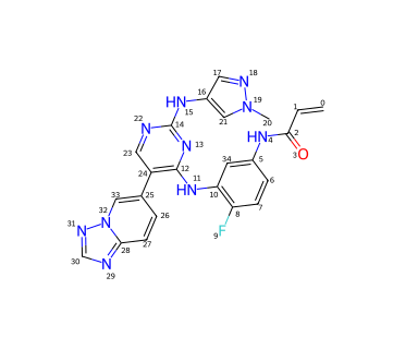 C=CC(=O)Nc1ccc(F)c(Nc2nc(Nc3cnn(C)c3)ncc2-c2ccc3ncnn3c2)c1